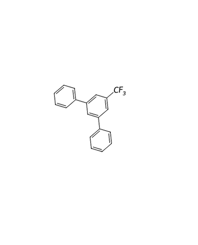 FC(F)(F)c1cc(-c2ccccc2)cc(-c2ccccc2)c1